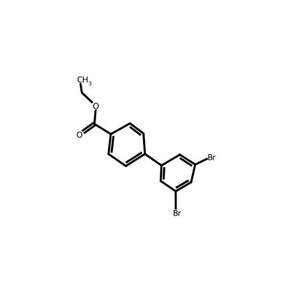 CCOC(=O)c1ccc(-c2cc(Br)cc(Br)c2)cc1